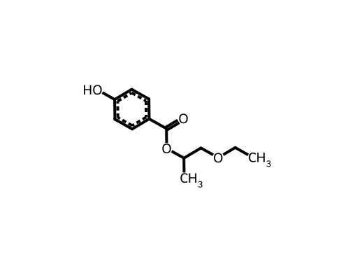 CCOCC(C)OC(=O)c1ccc(O)cc1